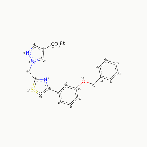 CCOC(=O)c1cnn(Cc2nc(-c3cccc(OCc4ccccc4)c3)cs2)c1